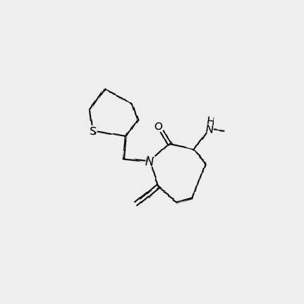 C=C1CCCC(NC)C(=O)N1CC1CCCCS1